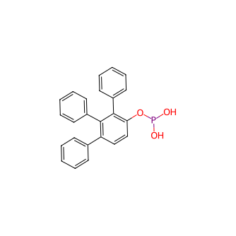 OP(O)Oc1ccc(-c2ccccc2)c(-c2ccccc2)c1-c1ccccc1